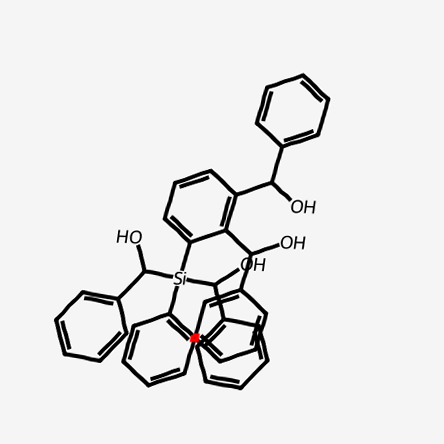 OC(c1ccccc1)c1cccc([Si](c2ccccc2)(C(O)c2ccccc2)C(O)c2ccccc2)c1C(O)c1ccccc1